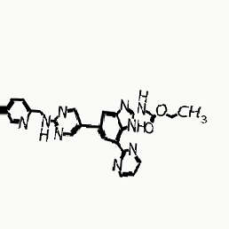 CCOC(=O)Nc1nc2cc(-c3cnc(NCc4ccccn4)nc3)cc(-c3ncccn3)c2[nH]1